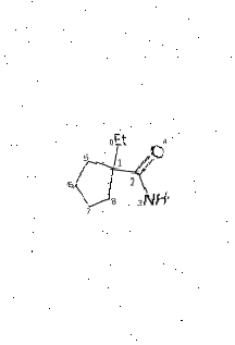 CCC1(C([NH])=O)CCCC1